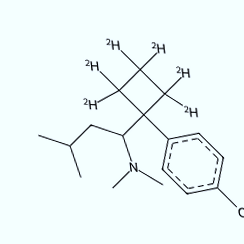 [2H]C1([2H])C([2H])([2H])C(c2ccc(Cl)cc2)(C(CC(C)C)N(C)C)C1([2H])[2H]